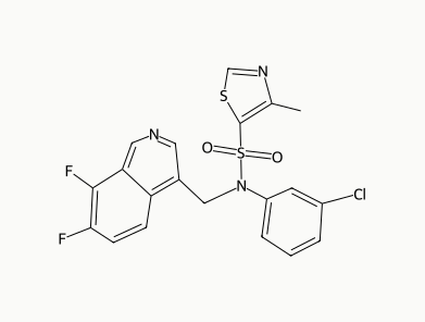 Cc1ncsc1S(=O)(=O)N(Cc1cncc2c(F)c(F)ccc12)c1cccc(Cl)c1